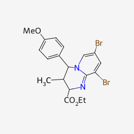 CCOC(=O)C1N=C2C(Br)=CC(Br)=CN2C(c2ccc(OC)cc2)C1C